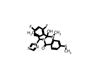 CCC(N1C(=O)c2ccc(SC)cc2N(C)C1(O)c1ccc(F)cc1F)n1cncn1